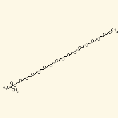 C=C(C)C(=O)OCCOCCOCCOCCOCCOCCOCCOCCOCCOCCOCCOCCOCCOCCOCCOCCOC